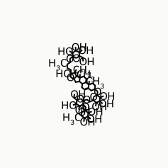 CC(CCC1(O)OC2CC3C4CC=C5CC(OC6OC(COC7OC(CO)C(O)C(O)C7OC7OC(C)C(O)C(O)C7O)C(O)C(O)C6O)CCC5(C)C4CCC3(C)C2C1C)COC1OC(CO)C(O)C(O)C1O